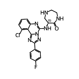 O=C1NCCNC[C@@H]1Nc1nc2cccc(Cl)c2c2nc(-c3ccc(F)cc3)nn12